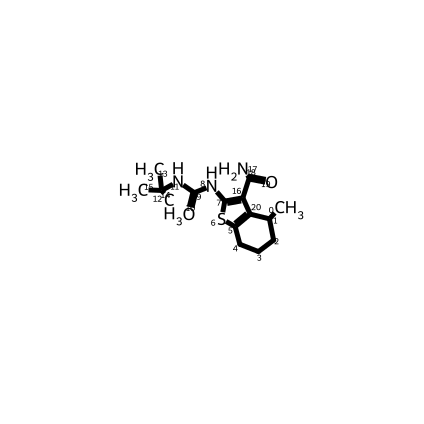 CC1CCCc2sc(NC(=O)NC(C)(C)C)c(C(N)=O)c21